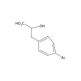 CC(=O)c1ccc(CC(O)C(=O)O)cc1